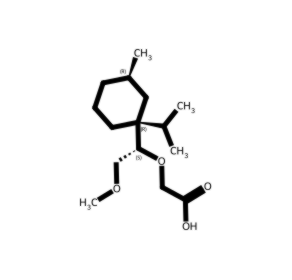 COC[C@@H](OCC(=O)O)[C@]1(C(C)C)CCC[C@@H](C)C1